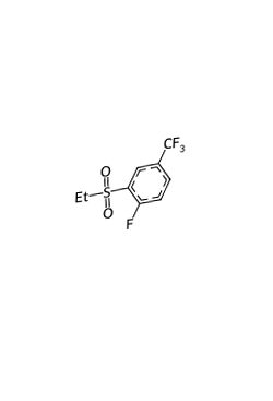 CCS(=O)(=O)c1cc(C(F)(F)F)ccc1F